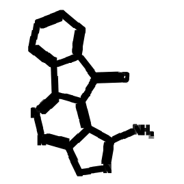 NC1=NCc2nnc3c(c21)C(=O)c1ccccc1-3